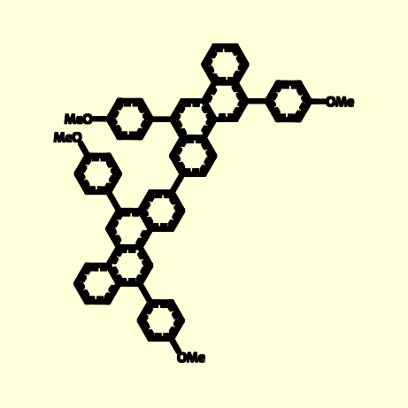 COc1ccc(-c2cc3c4ccc(-c5ccc6c(c5)c(-c5ccc(OC)cc5)cc5c7ccccc7c(-c7ccc(OC)cc7)cc65)cc4c(-c4ccc(OC)cc4)cc3c3ccccc23)cc1